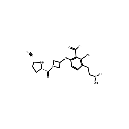 C#C[C@H]1CC[C@@H](C(=O)N2CC(Oc3ccc(CCB(O)O)c(O)c3C(=O)O)C2)N1